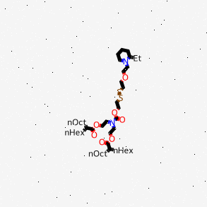 CCCCCCCCC(CCCCCC)C(=O)OCCN(CCOC(=O)C(CCCCCC)CCCCCCCC)C(=O)OCCSSCCOCCN1CCCCC1CC